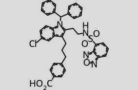 O=C(O)c1ccc(CCCc2c(CCNS(=O)(=O)c3cccc4nonc34)n(C(c3ccccc3)c3ccccc3)c3ccc(Cl)cc23)cc1